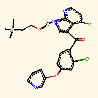 C[Si](C)(C)CCOCn1cc(C(=O)c2ccc(Oc3cccnc3)cc2Cl)c2c(Cl)ccnc21